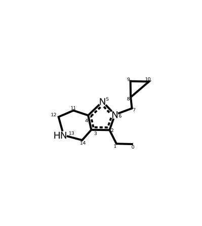 CCc1c2c(nn1CC1CC1)CCNC2